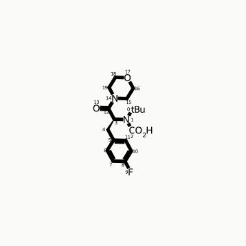 CC(C)(C)N(C(=O)O)[C@@H](Cc1ccc(F)cc1)C(=O)N1CCOCC1